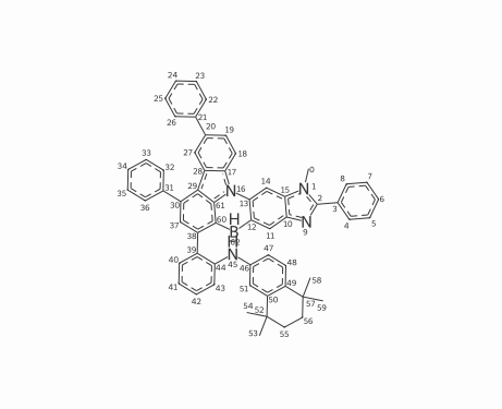 Cn1c(-c2ccccc2)nc2cc3c(cc21)-n1c2ccc(-c4ccccc4)cc2c2c(-c4ccccc4)cc(-c4ccccc4Nc4ccc5c(c4)C(C)(C)CCC5(C)C)c(c21)B3